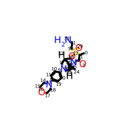 CC(C(=O)N1C[C@@H]2CN(c3ccc(N4CCOCC4)cc3)[C@H](C1)C(C)(C)C2)S(=O)(=O)CCN